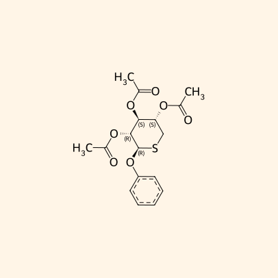 CC(=O)O[C@@H]1[C@@H](OC(C)=O)[C@H](OC(C)=O)CS[C@H]1Oc1ccccc1